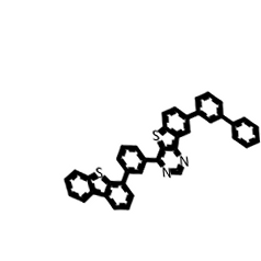 c1ccc(-c2cccc(-c3ccc4sc5c(-c6cccc(-c7cccc8c7sc7ccccc78)c6)ncnc5c4c3)c2)cc1